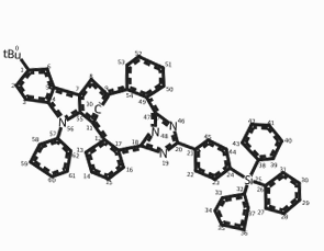 CC(C)(C)c1ccc2c(c1)c1cc3cc(c4ccccc4c4nc(-c5ccc([Si](c6ccccc6)(c6ccccc6)c6ccccc6)cc5)nc(n4)c4ccccc34)c1n2-c1ccccc1